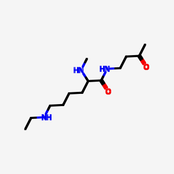 CCNCCCCC(NC)C(=O)NCCC(C)=O